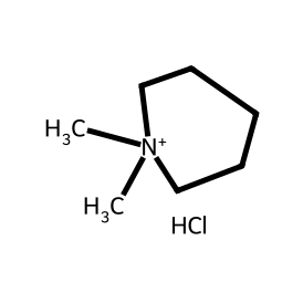 C[N+]1(C)CCCCC1.Cl